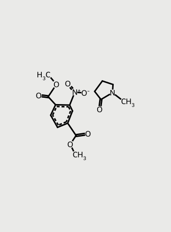 CN1CCCC1=O.COC(=O)c1ccc(C(=O)OC)c([N+](=O)[O-])c1